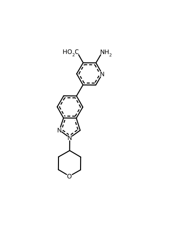 Nc1ncc(-c2ccc3nn(C4CCOCC4)cc3c2)cc1C(=O)O